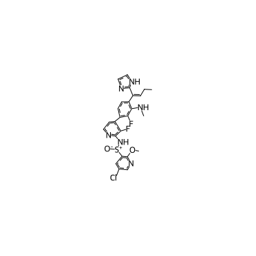 CC/C=C(\c1ncc[nH]1)c1ccc(-c2ccnc(N[S+]([O-])c3cc(Cl)cnc3OC)c2F)c(F)c1NC